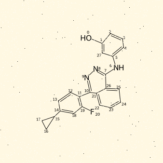 Oc1cccc(Nc2nnc(-c3ccc(C4CC4)cc3F)c3ccccc23)c1